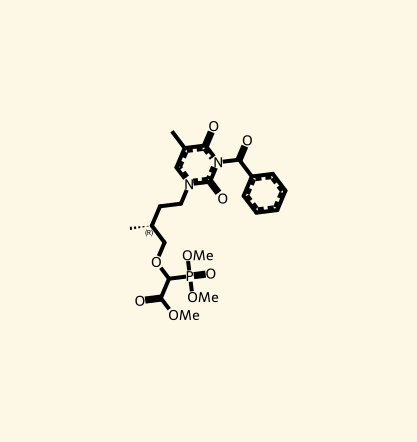 COC(=O)C(OC[C@H](C)CCn1cc(C)c(=O)n(C(=O)c2ccccc2)c1=O)P(=O)(OC)OC